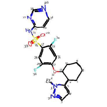 CCn1nccc1C1CCCCC1Oc1cc(F)c(S(=O)(=O)Nc2ccncn2)cc1F